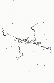 CCCCC/C=C\C/C=C\CCCCCC[C@@H](O)CN(CCCCC1NC(=O)C(CCCCN(C[C@H](O)CCCCCC/C=C\C/C=C\CCCCC)C[C@H](O)CCCCCC/C=C\C/C=C\CCCCC)NC1=O)C[C@H](O)CCCCCC/C=C\C/C=C\CCCCC